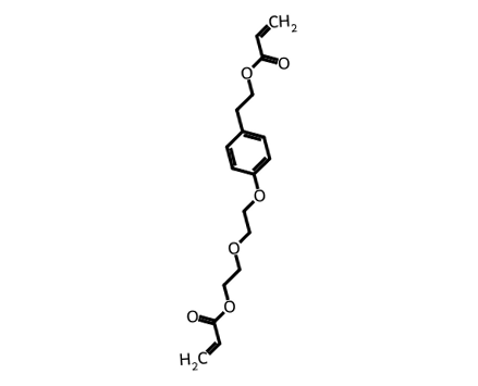 C=CC(=O)OCCOCCOc1ccc(CCOC(=O)C=C)cc1